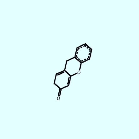 O=C1C=C2Oc3ccccc3CC2=CC1